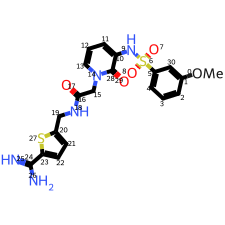 COc1cccc(S(=O)(=O)Nc2cccn(CC(=O)NCc3ccc(C(=N)N)s3)c2=O)c1